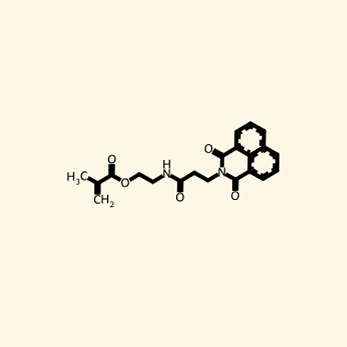 C=C(C)C(=O)OCCNC(=O)CCN1C(=O)c2cccc3cccc(c23)C1=O